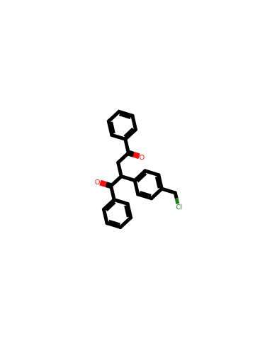 O=C(CC(C(=O)c1ccccc1)c1ccc(CCl)cc1)c1ccccc1